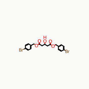 O=C(CC(O)CC(=O)OCc1ccc(Br)cc1)OCc1ccc(Br)cc1